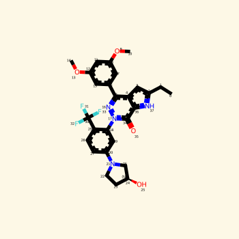 CCc1cc2c(-c3cc(OC)cc(OC)c3)nn(-c3cc(N4CC[C@H](O)C4)ccc3C(F)(F)F)c(=O)c2[nH]1